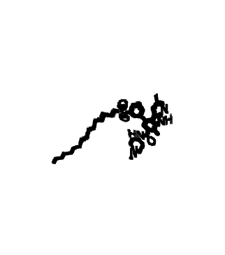 CCCCCCCCCCCCCCCCS(=O)(=O)c1cccc(-c2cc(C(=O)NC3CCN(C)CC3)c(C)c3[nH]c4ncc(C)cc4c23)c1